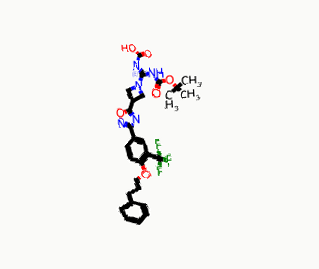 CC(C)(C)OC(=O)N/C(=N\C(=O)O)N1CC(c2nc(-c3ccc(OCCCc4ccccc4)c(C(F)(F)F)c3)no2)C1